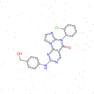 O=c1c2cnc(Nc3ccc(CO)cc3)nc2n2ccnc2n1-c1ccccc1Cl